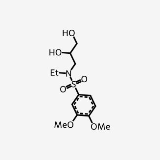 CCN(CC(O)CO)S(=O)(=O)c1ccc(OC)c(OC)c1